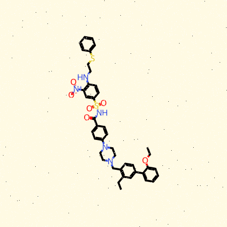 CCOc1ccccc1-c1ccc(CN2CCN(c3ccc(C(=O)NS(=O)(=O)c4ccc(NCCSc5ccccc5)c([N+](=O)[O-])c4)cc3)CC2)c(CC)c1